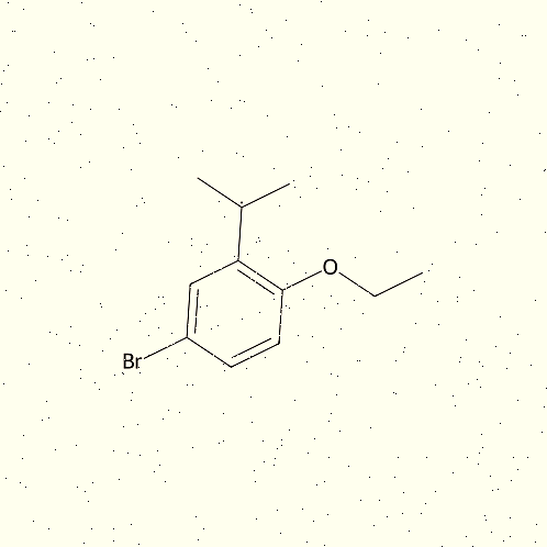 CCOc1ccc(Br)cc1[C](C)C